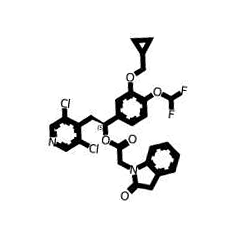 O=C(CN1C(=O)Cc2ccccc21)O[C@@H](Cc1c(Cl)cncc1Cl)c1ccc(OC(F)F)c(OCC2CC2)c1